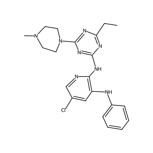 CCc1nc(Nc2ncc(Cl)cc2Nc2ccccc2)nc(N2CCN(C)CC2)n1